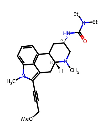 CCN(CC)C(=O)N[C@H]1CC2c3cccc4c3c(c(C#CCOC)n4C)C[C@H]2N(C)C1